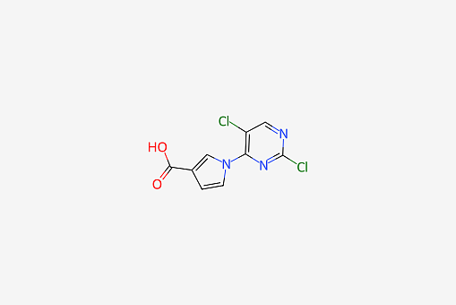 O=C(O)c1ccn(-c2nc(Cl)ncc2Cl)c1